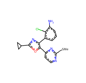 CSc1nccc(-c2oc(C3CC3)nc2-c2cccc(N)c2Cl)n1